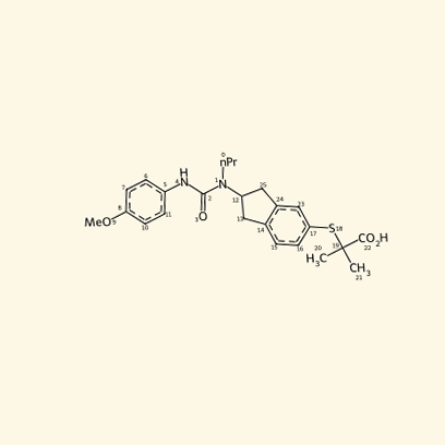 CCCN(C(=O)Nc1ccc(OC)cc1)C1Cc2ccc(SC(C)(C)C(=O)O)cc2C1